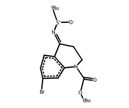 CC(C)(C)OC(=O)N1CCC(=N[S+]([O-])C(C)(C)C)c2ccc(Br)cc21